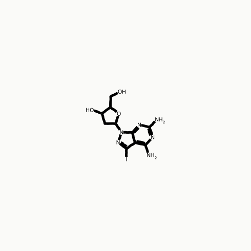 Nc1nc(N)c2c(I)nn(C3CC(O)C(CO)O3)c2n1